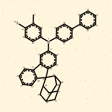 Cc1cc(N(c2ccc(-c3ccccc3)cc2)c2ccc3c(c2)-c2ccccc2C32C3CC4CC(C3)CC2C4)ccc1F